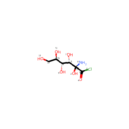 N[C@](O)(C(=O)Cl)[C@@H](O)[C@H](O)[C@H](O)CO